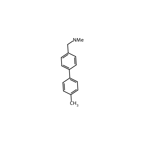 CNCc1ccc(-c2ccc(C)cc2)cc1